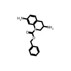 Nc1ccc2c(c1)N(C(=O)OCc1ccccc1)CC(N)C2